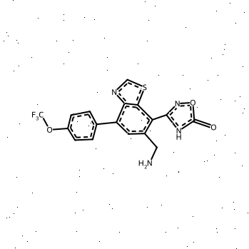 NCc1cc(-c2ccc(OC(F)(F)F)cc2)c2ncsc2c1-c1noc(=O)[nH]1